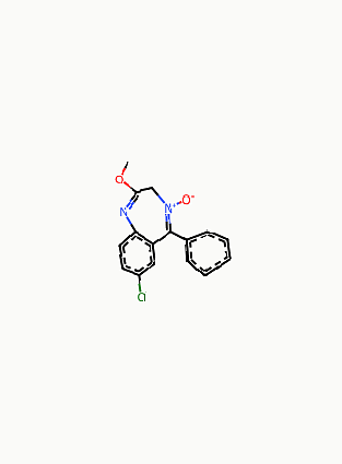 COC1=Nc2ccc(Cl)cc2C(c2ccccc2)=[N+]([O-])C1